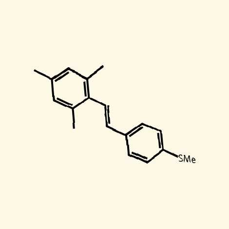 CSc1ccc(/C=C/c2c(C)cc(C)cc2C)cc1